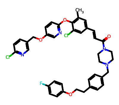 Cc1cc(C=CC(=O)N2CCN(Cc3ccc(CCOc4ccc(F)cc4)cc3)CC2)cc(Cl)c1Oc1ccc(OCc2ccc(Cl)nc2)cn1